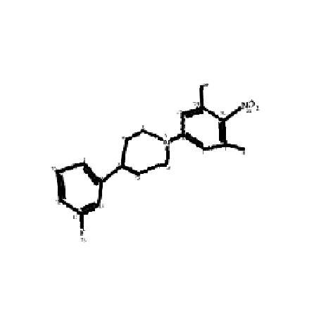 Cc1cc(N2CCC(c3cccc(F)c3)CC2)cc(C)c1[N+](=O)[O-]